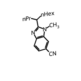 CCCCCCC(CCC)c1nc2ccc(C#N)cc2n1C